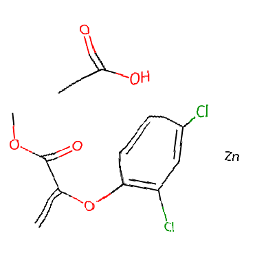 C=C(Oc1ccc(Cl)cc1Cl)C(=O)OC.CC(=O)O.[Zn]